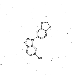 Oc1ccc2ncn(-c3ccc4c(c3)OCO4)c2n1